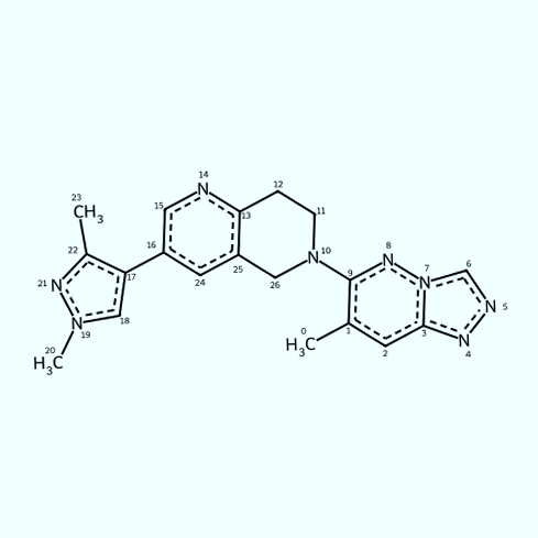 Cc1cc2nncn2nc1N1CCc2ncc(-c3cn(C)nc3C)cc2C1